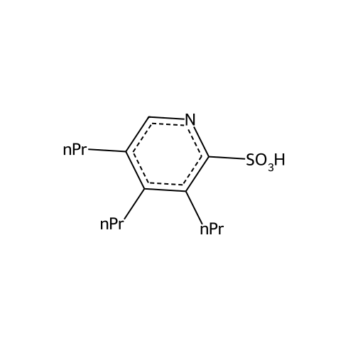 CCCc1cnc(S(=O)(=O)O)c(CCC)c1CCC